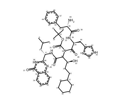 CC(C)C[C@H](NC(=O)C([C@@H](O)CCC1CCCCC1)N(C(=O)OC(C)(C)C)C(=O)[C@H](Cc1c[nH]cn1)NC(=O)[C@@H](N)Cc1ccccc1)c1nc2ccccc2c(=O)[nH]1